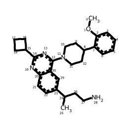 COc1ccccc1C1CCN(c2nc(C3CCC3)nc3ccc(C(C)CCN)cc23)CC1